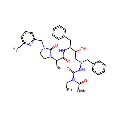 CCC(C)C(C(=O)NC(Cc1ccccc1)C(O)CN(Cc1ccccc1)NC(=O)N(CC(C)(C)C)C(=O)OC)N1CCN(Cc2cccc(C)n2)C1=O